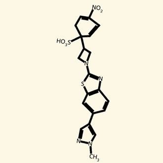 Cn1cc(-c2ccc3nc(N4CC(C5(S(=O)(=O)O)C=CC([N+](=O)[O-])=CC5)C4)sc3c2)cn1